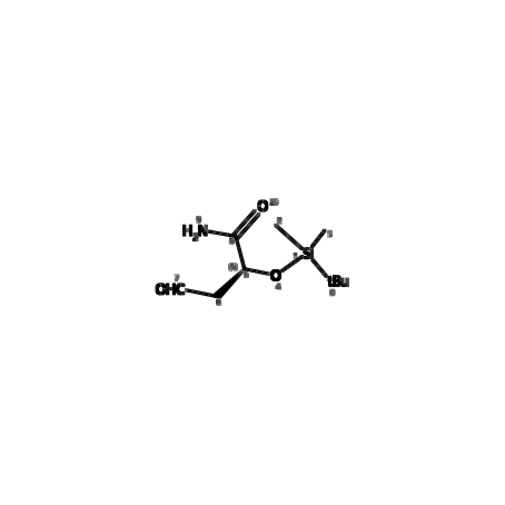 CC(C)(C)[Si](C)(C)O[C@@H](CC=O)C(N)=O